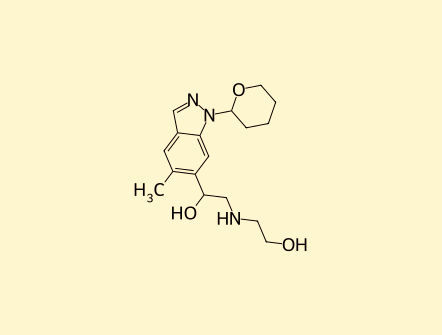 Cc1cc2cnn(C3CCCCO3)c2cc1C(O)CNCCO